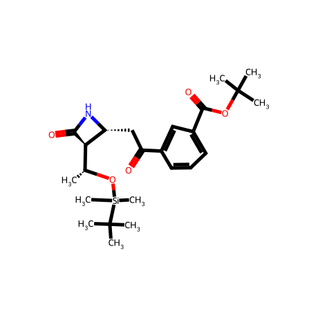 C[C@@H](O[Si](C)(C)C(C)(C)C)[C@H]1C(=O)N[C@@H]1CC(=O)c1cccc(C(=O)OC(C)(C)C)c1